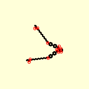 C=CC(=O)OCCCCCCCCCCCCOc1ccc(-c2ccc(C(=O)OC3OCCOC3OC(=O)c3ccc(-c4ccc(OCCCCCCCCCCCCOC(=O)C=C)cc4)cc3)cc2)cc1